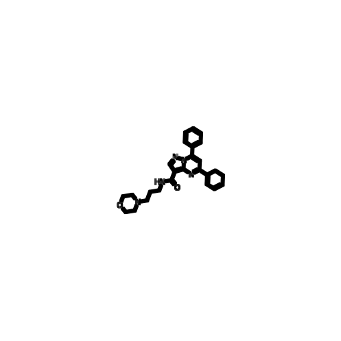 O=C(NCCCN1CCOCC1)c1cnn2c(-c3ccccc3)cc(C3=CC=CCC3)nc12